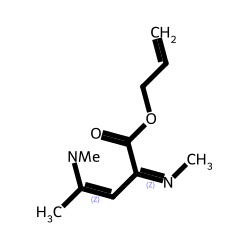 C=CCOC(=O)C(/C=C(/C)NC)=N\C